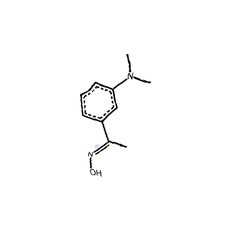 C/C(=N\O)c1cccc(N(C)C)c1